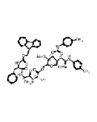 CO[C@@H]1OC(COC(=O)[C@@H](NC(=O)[C@H](C)NC(=O)C(Cc2ccccc2)NC(=O)OCC2c3ccccc3-c3ccccc32)C(C)C)[C@@H](OC)[C@H](OC(=O)Nc2ccc(C)cc2)C1OC(=O)Nc1ccc(C)cc1